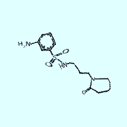 Nc1cccc(S(=O)(=O)NCCCN2CCCC2=O)c1